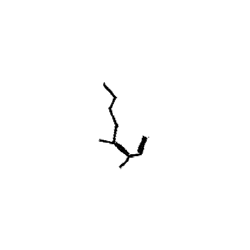 [CH]=CC(C)=C(C)CCCC